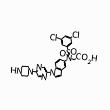 O=C(O)CN(c1ccc2c(ccn2-c2cnc(N3CCNCC3)cn2)c1)S(=O)(=O)c1cc(Cl)cc(Cl)c1